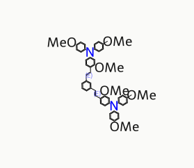 COc1ccc(N(c2ccc(OC)cc2)c2ccc(/C=C/c3cccc(/C=C/c4ccc(N(c5ccc(OC)cc5)c5ccc(OC)cc5)cc4OC)c3)c(OC)c2)cc1